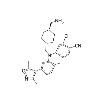 Cc1ccc(-c2c(C)noc2C)cc1N(C[C@H]1CC[C@H](CN)CC1)c1ccc(C#N)c(Cl)c1